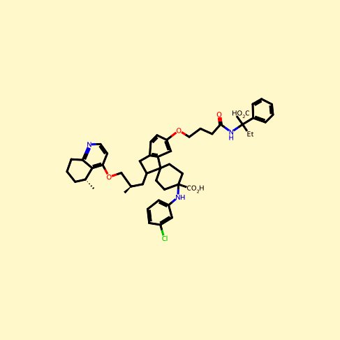 CCC(NC(=O)CCCOc1ccc2c(c1)C1(CCC(Nc3cccc(Cl)c3)(C(=O)O)CC1)C(C[C@@H](C)COc1ccnc3c1[C@H](C)CCC3)C2)(C(=O)O)c1ccccc1